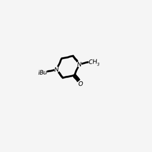 CCC(C)N1CCN(C)C(=O)C1